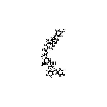 O=C(Nc1nc2c(ncn2CC(=O)N2CCN(S(=O)(=O)c3nc4cc(Cl)ccc4s3)C(=O)C2)c(=O)[nH]1)OC(c1ccccc1)c1ccccc1